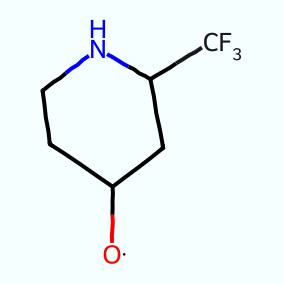 [O]C1CCNC(C(F)(F)F)C1